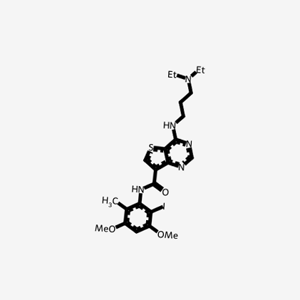 CCN(CC)CCCNc1ncnc2c(C(=O)Nc3c(C)c(OC)cc(OC)c3I)csc12